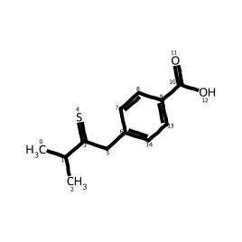 CC(C)C(=S)Cc1ccc(C(=O)O)cc1